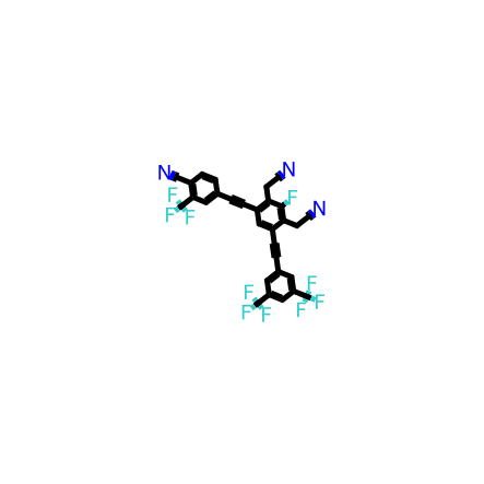 N#CCc1c(C#Cc2cc(C(F)(F)F)cc(C(F)(F)F)c2)cc(C#Cc2ccc(C#N)c(C(F)(F)F)c2)c(CC#N)c1F